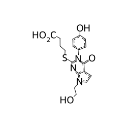 O=C(O)CCCSc1nc2c(ccn2CCO)c(=O)n1-c1ccc(O)cc1